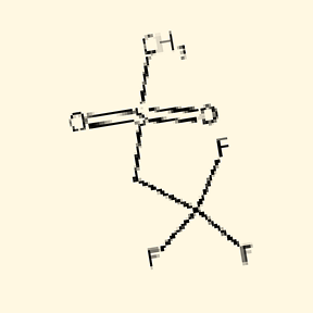 CS(=O)(=O)CC(F)(F)F